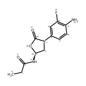 CCC(=O)N[C@@H]1CN(c2ccc(N)c(F)c2)C(=O)O1